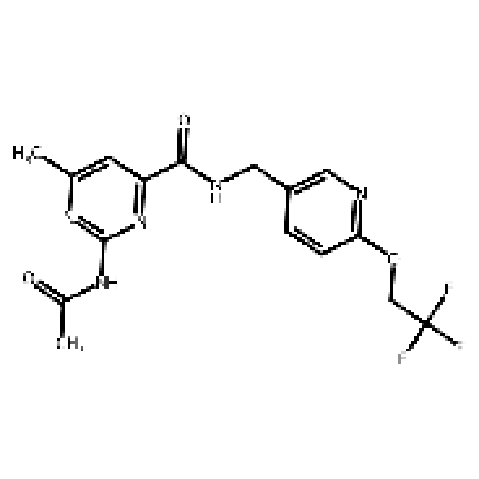 CC(=O)Nc1nc(C)cc(C(=O)NCc2ccc(OCC(F)(F)F)nc2)n1